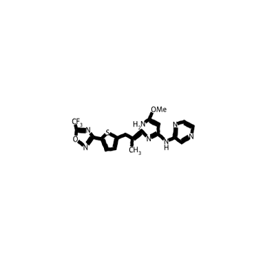 CO/C(N)=C/C(=N\C=C(/C)Cc1ccc(-c2noc(C(F)(F)F)n2)s1)Nc1cnccn1